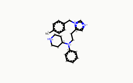 N#Cc1ccc(Cn2cncc2CCN(c2ccccc2)C2CCNCC2)cc1